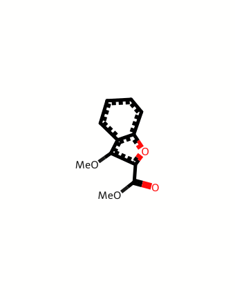 COC(=O)c1oc2ccccc2c1OC